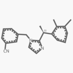 Cc1cccc([C@H](C)c2nccn2Cc2cccc(C#N)c2)c1C